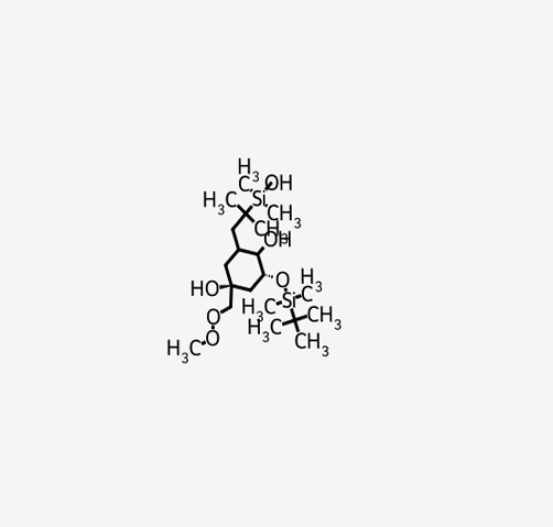 COOC[C@]1(O)CC(CC(C)(C)[Si](C)(C)O)C(O)[C@H](O[Si](C)(C)C(C)(C)C)C1